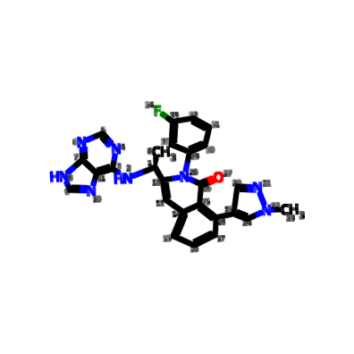 C[C@H](Nc1ncnc2[nH]cnc12)c1cc2cccc(-c3cnn(C)c3)c2c(=O)n1-c1cccc(F)c1